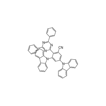 N#Cc1cc(-n2c3ccccc3c3ccccc32)cc(-n2c3ccccc3c3ccccc32)c1-c1nc(-c2ccccc2)nc(-c2ccccc2)n1